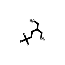 CCC(CC)CCC(F)(F)F